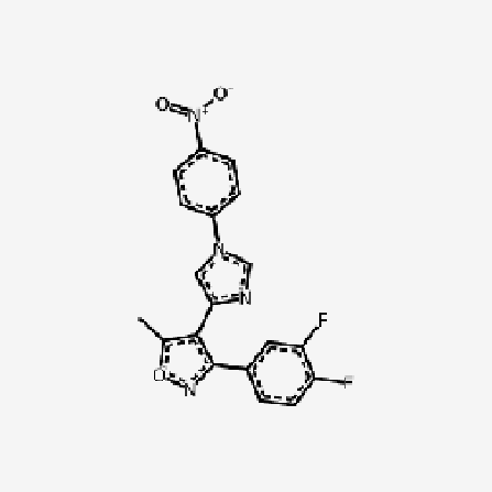 Cc1onc(-c2ccc(F)c(F)c2)c1-c1cn(-c2ccc([N+](=O)[O-])cc2)cn1